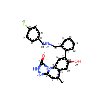 Cc1cc2n[nH]c(=O)n2c2cc(-c3ccccc3CNCc3ccc(F)cc3)c(O)cc12